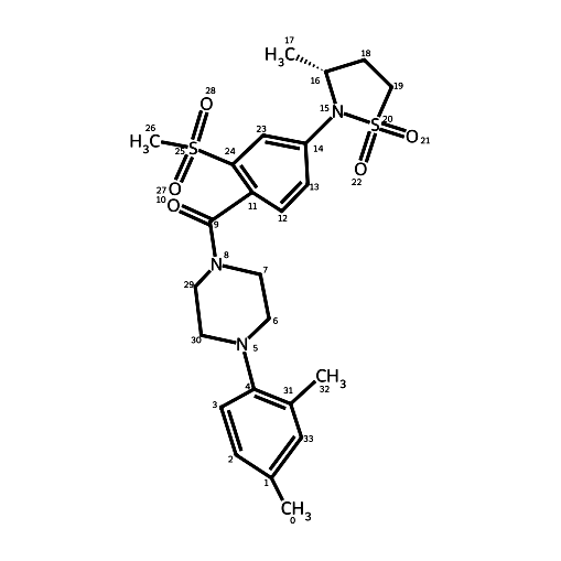 Cc1ccc(N2CCN(C(=O)c3ccc(N4[C@H](C)CCS4(=O)=O)cc3S(C)(=O)=O)CC2)c(C)c1